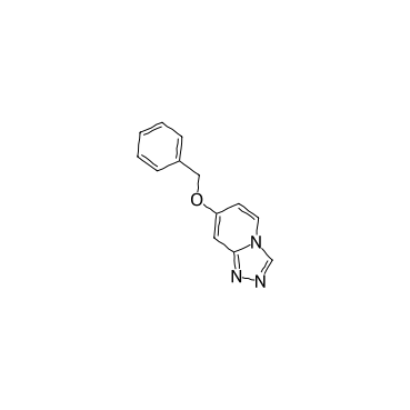 c1ccc(COc2ccn3cnnc3c2)cc1